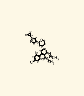 Cc1nc2nc([C@H]3CCO[C@H](c4cnn(C5CC5)c4)C3)cc(-c3ccc(Cl)cc3F)c2c(=O)n1C